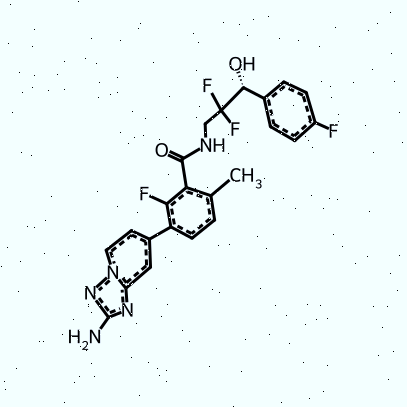 Cc1ccc(-c2ccn3nc(N)nc3c2)c(F)c1C(=O)NCC(F)(F)[C@H](O)c1ccc(F)cc1